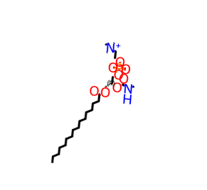 CCCCCCCCCCCCCCCC(=O)OC[C@H](COP(=O)([O-])OCC[N+](C)(C)C)OC(=O)NC